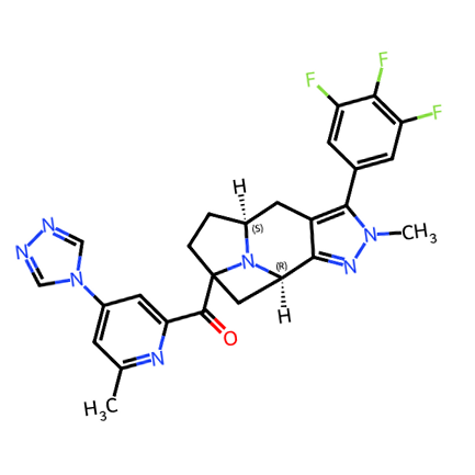 Cc1cc(-n2cnnc2)cc(C(=O)C23CC[C@H]4Cc5c(nn(C)c5-c5cc(F)c(F)c(F)c5)[C@@H](C2)N43)n1